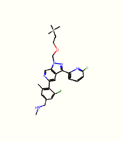 CNCc1cc(C)c(-c2cc3c(-c4cccc(Cl)n4)nn(COCC[Si](C)(C)C)c3cn2)c(F)c1